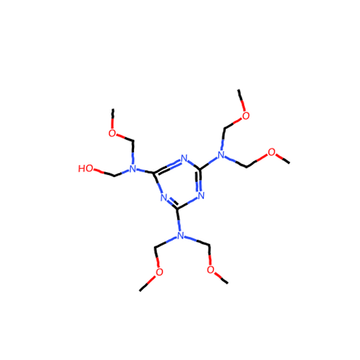 COCN(CO)c1nc(N(COC)COC)nc(N(COC)COC)n1